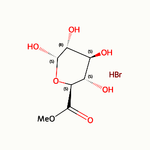 Br.COC(=O)[C@H]1O[C@H](O)[C@H](O)[C@@H](O)[C@@H]1O